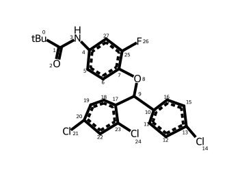 CC(C)(C)C(=O)Nc1ccc(OC(c2ccc(Cl)cc2)c2ccc(Cl)cc2Cl)c(F)c1